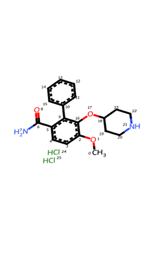 COc1ccc(C(N)=O)c(-c2ccccc2)c1OC1CCNCC1.Cl.Cl